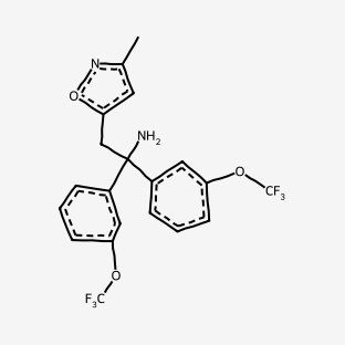 Cc1cc(CC(N)(c2cccc(OC(F)(F)F)c2)c2cccc(OC(F)(F)F)c2)on1